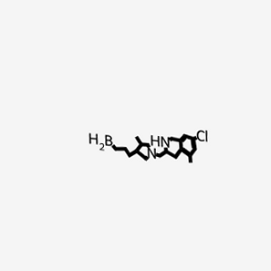 BCCCC1CN(CC2Cc3c(C)cc(Cl)cc3CN2)CC1C